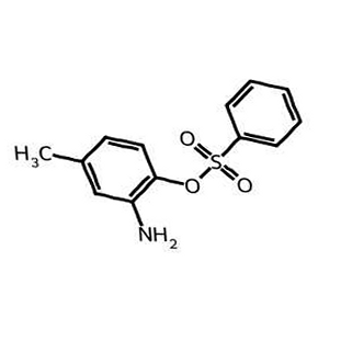 Cc1ccc(OS(=O)(=O)c2ccccc2)c(N)c1